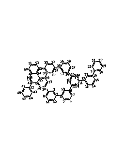 c1ccc(-c2cccc(-c3nc(-c4cccc(-c5ccccc5)c4)nc(-c4cccc(-c5cccc(-c6cccc7c(-c8ccccc8)nc8ccccc8c67)c5)c4)n3)c2)cc1